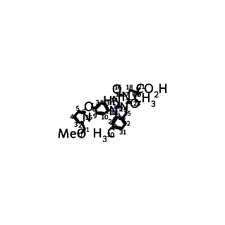 COCc1cccc(Oc2ccc(/N=c3\[nH]c(=O)n(C[C@H](C)C(=O)O)c(=O)n3Cc3ccc(C)cc3)cc2)n1